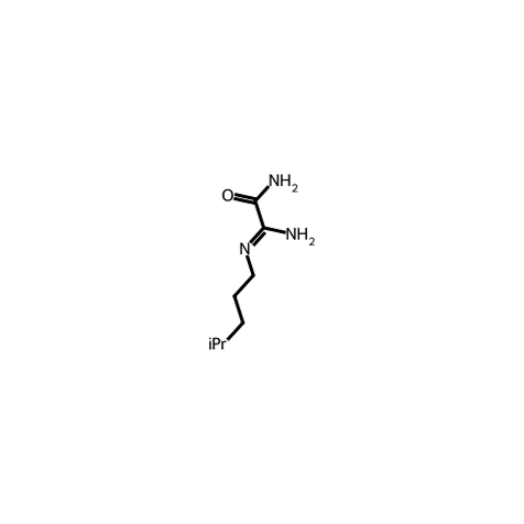 CC(C)CCC/N=C(\N)C(N)=O